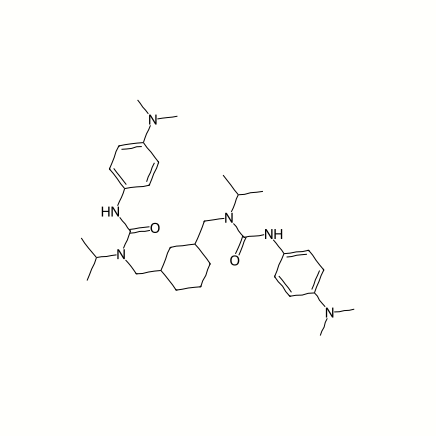 CC(C)N(CC1CCCC(CN(C(=O)Nc2ccc(N(C)C)cc2)C(C)C)C1)C(=O)Nc1ccc(N(C)C)cc1